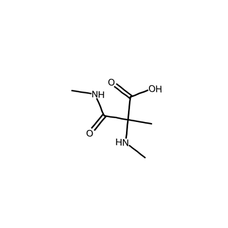 CNC(=O)C(C)(NC)C(=O)O